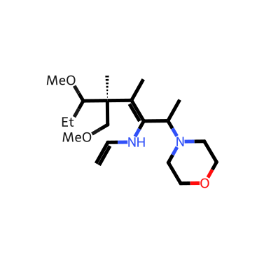 C=CN/C(=C(/C)[C@@](C)(COC)C(CC)OC)C(C)N1CCOCC1